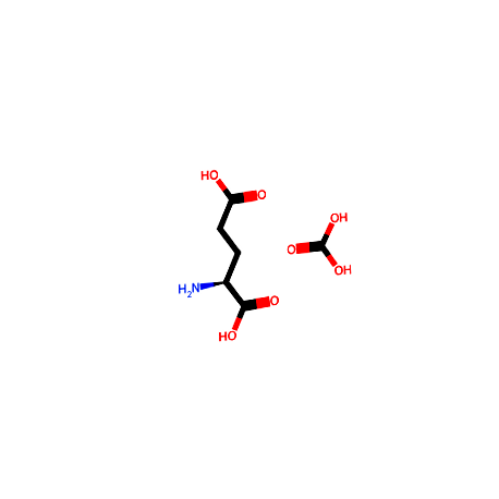 N[C@@H](CCC(=O)O)C(=O)O.O=C(O)O